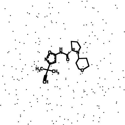 C#CC(C)(C)c1cc(NC(=O)[C@@H]2CCCN2C2CCOCC2)on1